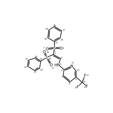 O=S(=O)(C(=CNc1ccc(C(F)(F)F)cn1)S(=O)(=O)c1ccccc1)c1ccccc1